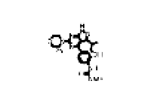 CNC(=O)Nc1ccc(-c2nc(N3CCOC[C@@H]3C)nc3[nH]nc(C(C)CO)c23)cc1